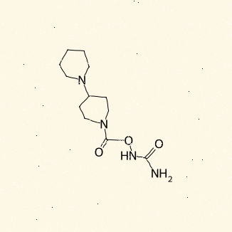 NC(=O)NOC(=O)N1CCC(N2CCCCC2)CC1